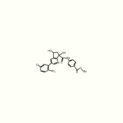 CC(C)(C)OC(=O)c1ccc(NC(=O)C2(O)CC(O)c3cc(-c4cc(Cl)ccc4N)cnc32)cc1